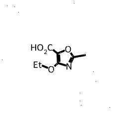 CCOc1nc(C)oc1C(=O)O